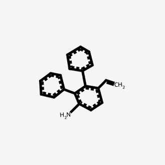 C=Cc1ccc(N)c(-c2ccccc2)c1-c1ccccc1